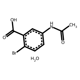 CC(=O)Nc1ccc(Br)c(C(=O)O)c1.O